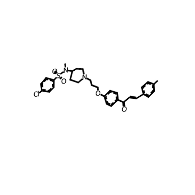 Cc1ccc(C=CC(=O)c2ccc(OCCCN3CCC(N(C)S(=O)(=O)c4ccc(Cl)cc4)CC3)cc2)cc1